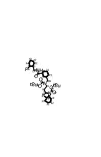 CC(C)(C)OC(=O)N(CCc1nc2ccccc2n1C(=O)OC(C)(C)C)Cc1cccc(C(=O)NCc2ccccc2F)c1